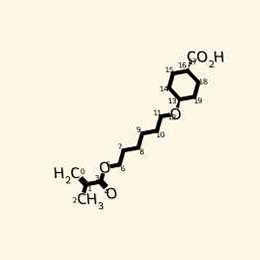 C=C(C)C(=O)OCCCCCCO[C@H]1CC[C@H](C(=O)O)CC1